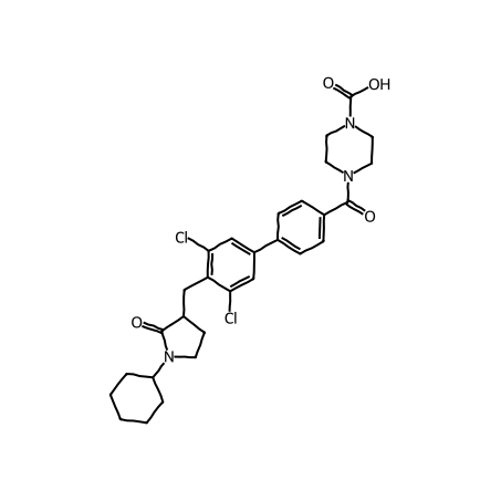 O=C(O)N1CCN(C(=O)c2ccc(-c3cc(Cl)c(CC4CCN(C5CCCCC5)C4=O)c(Cl)c3)cc2)CC1